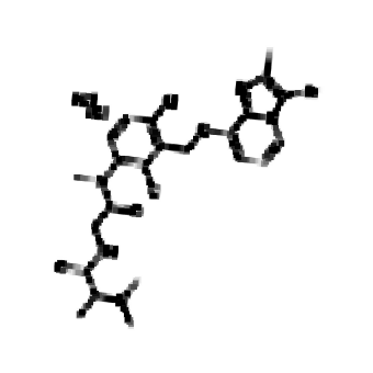 Cc1nc2c(OCc3c(Cl)ccc(N(C)C(=O)CNC(=O)C(C)N(C)C)c3Cl)cccn2c1Br.Cl.Cl